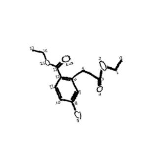 CCOC(=O)Cc1cc(Cl)ccc1C(=O)OCC